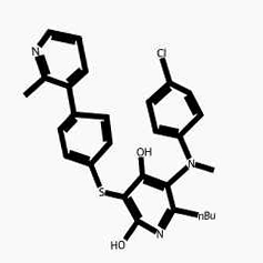 CCCCc1nc(O)c(Sc2ccc(-c3cccnc3C)cc2)c(O)c1N(C)c1ccc(Cl)cc1